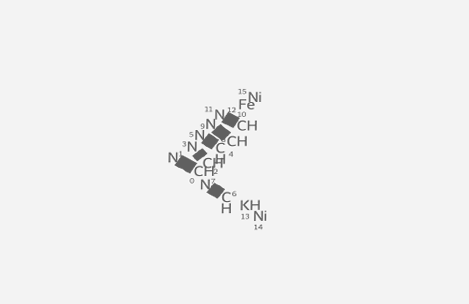 C#N.C#N.C#N.C#N.C#N.C#N.[Fe].[KH].[Ni].[Ni]